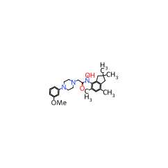 COc1cccc(N2CCN(CC(=O)N(O)c3c(C)cc(C)c4c3CC(C)(C)C4)CC2)c1